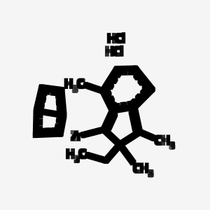 CCC1(C)C(C)=c2cccc(C)c2=[C]1[Zr].Cl.Cl.c1cc2ccc1-2